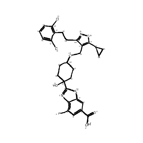 O=C(O)c1cc(F)c2nc(C3(O)CCC(OCc4c(CCc5c(Cl)cccc5Cl)noc4C4CC4)CC3)sc2c1